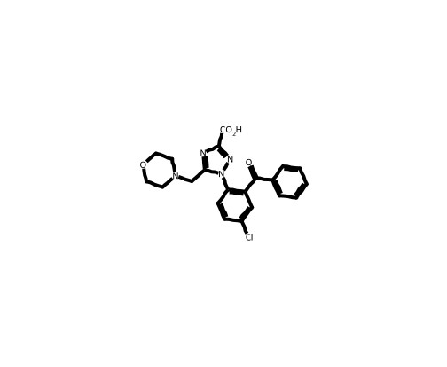 O=C(O)c1nc(CN2CCOCC2)n(-c2ccc(Cl)cc2C(=O)c2ccccc2)n1